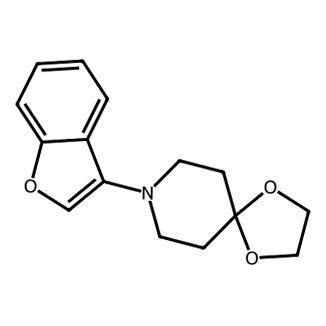 c1ccc2c(N3CCC4(CC3)OCCO4)coc2c1